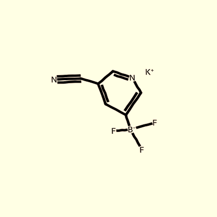 N#Cc1cncc([B-](F)(F)F)c1.[K+]